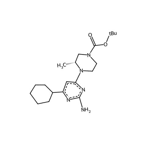 C[C@@H]1CN(C(=O)OC(C)(C)C)CCN1c1cc(C2CCCCC2)nc(N)n1